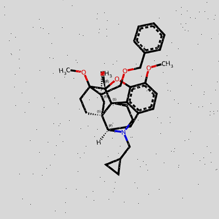 COc1ccc2c3c1O[C@H]1C4(OC)CC[C@@]5(C[C@]4(C)COCc4ccccc4)[C@@H](C2)N(CC2CC2)CC[C@]315